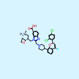 C[SiH2]CC(Cn1c(CN2CCC(c3cccc4c3OC(c3ccc(Cl)cc3Cl)C=C4F)CC2)nc2ccc(C(=O)O)cc21)[C@@H]1CCO1